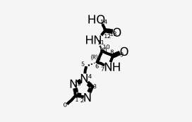 Cc1ncn(C[C@H]2NC(=O)[C@H]2NC(=O)O)n1